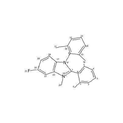 Cc1ccccc1-c1n(-c2c(C)cccc2C)c2ccc(F)cc2[n+]1C